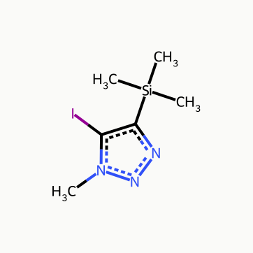 Cn1nnc([Si](C)(C)C)c1I